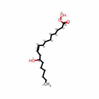 CCCCCCC(O)C/C=C\CCCCCCCC(=O)OO